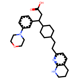 O=C(O)CC(c1cccc(N2CCOCC2)c1)C1CCC(CCc2ccc3c(n2)NCCC3)CC1